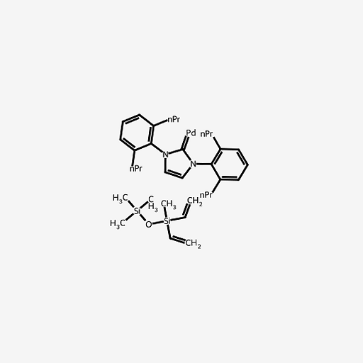 C=C[Si](C)(C=C)O[Si](C)(C)C.CCCc1cccc(CCC)c1-n1ccn(-c2c(CCC)cccc2CCC)[c]1=[Pd]